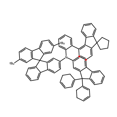 CC(C)(C)c1ccc2c(c1)C1(c3ccccc3-c3ccc(N(c4ccc5c(c4)C(C4=CC=CCC4)(C4=CC=CCC4)c4ccccc4-5)c4ccccc4-c4cccc5c4-c4ccccc4C54CCCC4)cc31)c1cc(C(C)(C)C)ccc1-2